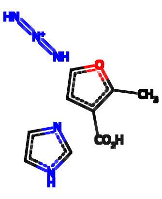 Cc1occc1C(=O)O.N=[N+]=N.c1c[nH]cn1